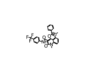 COc1cccc2c1c(OC(=O)c1ccccc1)c(C(=O)Nc1ccc(C(F)(F)F)cc1)c(=O)n2C